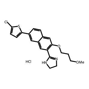 COCCCOc1cc2ccc(-c3ccc(Cl)s3)cc2cc1C1=NCCN1.Cl